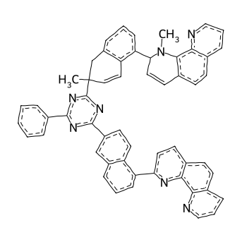 CN1c2c(ccc3cccnc23)C=CC1c1cccc2c1C=CC(C)(c1nc(-c3ccccc3)nc(-c3ccc4c(-c5ccc6ccc7cccnc7c6n5)cccc4c3)n1)C2